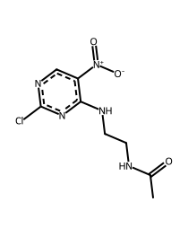 CC(=O)NCCNc1nc(Cl)ncc1[N+](=O)[O-]